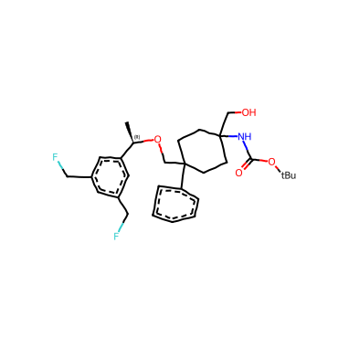 C[C@@H](OCC1(c2ccccc2)CCC(CO)(NC(=O)OC(C)(C)C)CC1)c1cc(CF)cc(CF)c1